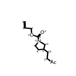 C=CCOC(=O)N1CCC(CCC(C)=O)C1